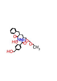 CCOCOC[C@H](C[C@H](Cc1ccccc1)C(=O)NO)NC(=O)c1ccc(CO)cc1